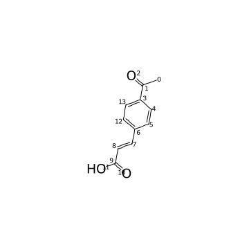 CC(=O)c1ccc(C=CC(=O)O)cc1